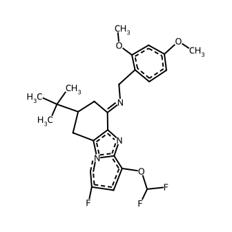 COc1ccc(CN=C2CC(C(C)(C)C)Cc3c2nc2c(OC(F)F)cc(F)cn32)c(OC)c1